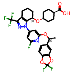 C[C@H](Oc1cc(-n2nc(C(F)(F)F)c3c2[C@H](O[C@H]2CC[C@H](C(=O)O)CC2)CCC3)cc(F)n1)c1ccc2c(c1)OC(F)(F)O2